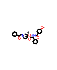 COc1ccc(C(=O)NC(C(=O)O[C@H]2C[N+]3(CC(=O)c4ccccc4)CCC2CC3)c2ccccc2)cc1